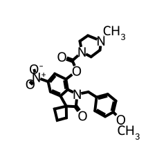 COc1ccc(CN2C(=O)C3(CCC3)c3cc([N+](=O)[O-])cc(OC(=O)N4CCN(C)CC4)c32)cc1